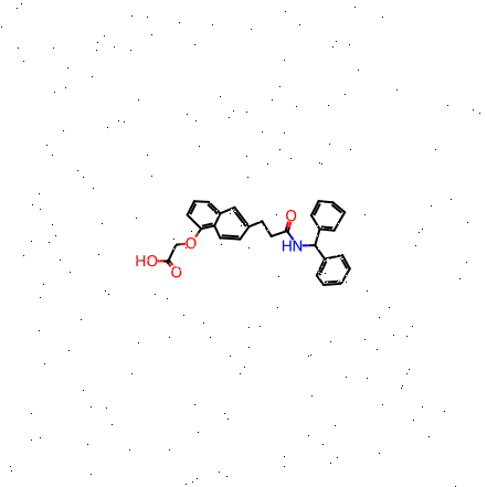 O=C(O)COc1cccc2cc(CCC(=O)NC(c3ccccc3)c3ccccc3)ccc12